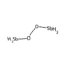 [SbH2][O][O][SbH2]